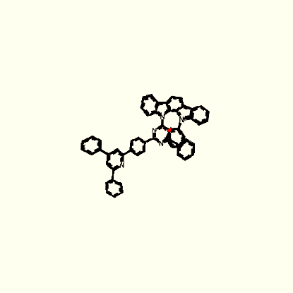 c1ccc(-c2cc(-c3ccccc3)nc(-c3ccc(-c4nc(-c5ccccc5)nc(-n5c6ccccc6c6ccc7c8ccccc8n(-c8ccccc8)c7c65)n4)cc3)c2)cc1